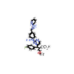 CCOCCC(C(=O)O)C(c1ccc(F)cc1)c1ccnc(Nc2ccc(CNc3ccccn3)cc2)n1